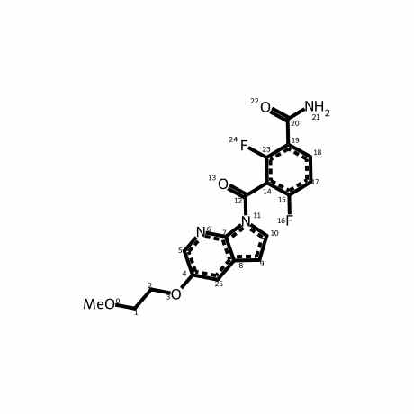 COCCOc1cnc2c(ccn2C(=O)c2c(F)ccc(C(N)=O)c2F)c1